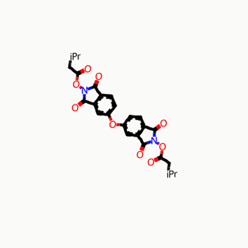 CC(C)CC(=O)ON1C(=O)c2ccc(Oc3ccc4c(c3)C(=O)N(OC(=O)CC(C)C)C4=O)cc2C1=O